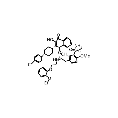 CCOc1ccccc1OCCN[C@H](C)Cc1ccc(OC)c(S(N)(=O)=O)c1.O=C1C(O)=C([C@H]2CC[C@H](c3ccc(Cl)cc3)CC2)C(=O)c2ccccc21